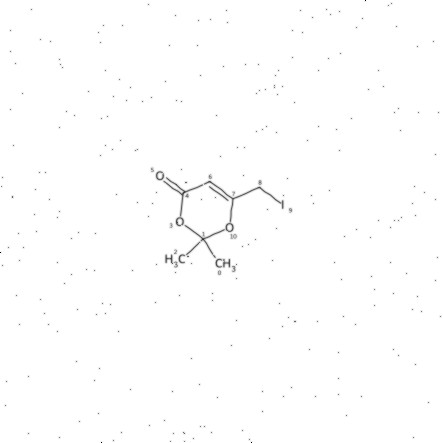 CC1(C)OC(=O)C=C(CI)O1